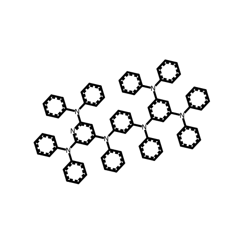 c1ccc(N(c2ccccc2)c2cc(N(c3ccccc3)c3ccccc3)cc(N(c3ccccc3)c3cccc(N(c4ccccc4)c4cc(N(c5ccccc5)c5ccccc5)nc(N(c5ccccc5)c5ccccc5)c4)c3)c2)cc1